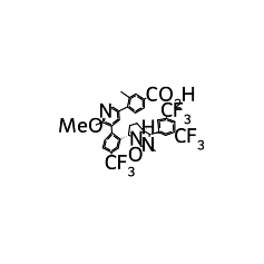 COc1ncc(-c2ccc(C(=O)O)cc2C)cc1-c1ccc(C(F)(F)F)cc1[C@@H]1CC[C@H]2[C@@H](c3cc(C(F)(F)F)cc(C(F)(F)F)c3)N(C)C(=O)N12